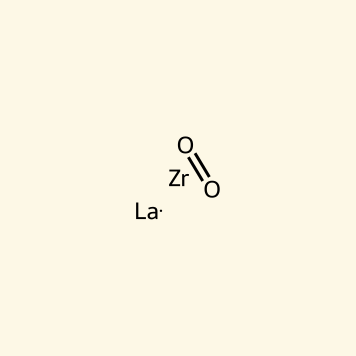 O=O.[La].[Zr]